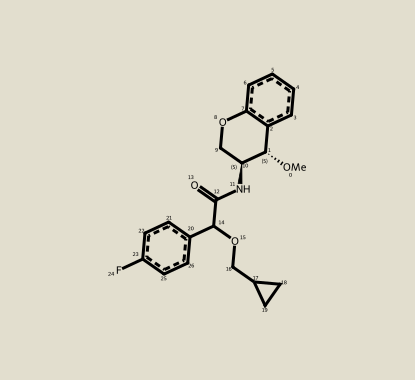 CO[C@H]1c2ccccc2OC[C@@H]1NC(=O)C(OCC1CC1)c1ccc(F)cc1